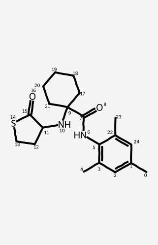 Cc1cc(C)c(NC(=O)C2(NC3CCSC3=O)CCCCC2)c(C)c1